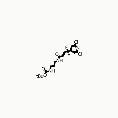 CC(C)(C)OC(=O)NCCCNC(=O)/C=C/C(F)(F)c1cc(Cl)nc(Cl)c1